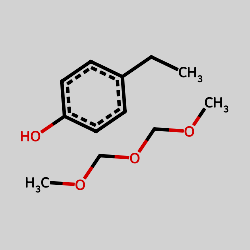 CCc1ccc(O)cc1.COCOCOC